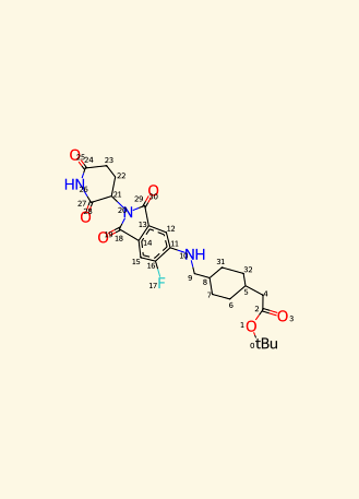 CC(C)(C)OC(=O)CC1CCC(CNc2cc3c(cc2F)C(=O)N(C2CCC(=O)NC2=O)C3=O)CC1